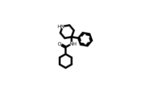 O=C(NC1(c2ccccc2)CCNCC1)C1CCCCC1